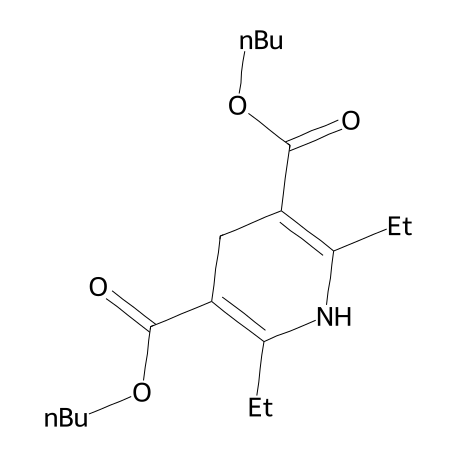 CCCCOC(=O)C1=C(CC)NC(CC)=C(C(=O)OCCCC)C1